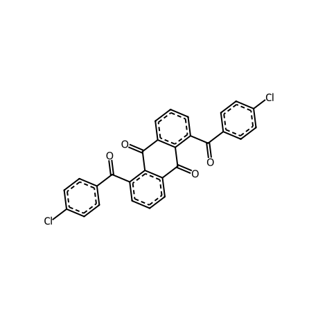 O=C(c1ccc(Cl)cc1)c1cccc2c1C(=O)c1cccc(C(=O)c3ccc(Cl)cc3)c1C2=O